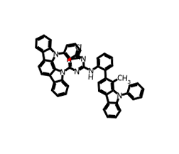 Cc1c(-c2ccccc2Nc2nc(Cl)nc(-n3c4ccccc4c4ccc5c6ccccc6n(-c6ccccc6)c5c43)n2)ccc2c3ccccc3n(-c3ccccc3)c12